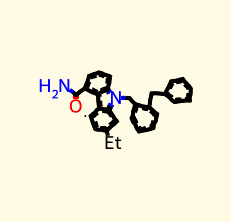 CCc1c[c]c2c3c(C(N)=O)cccc3n(Cc3ccccc3Cc3ccccc3)c2c1